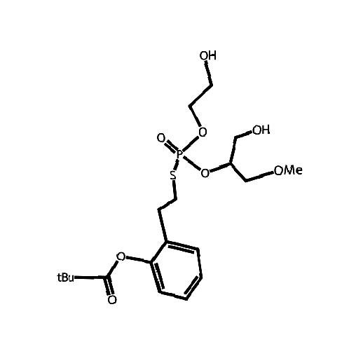 COCC(CO)OP(=O)(OCCO)SCCc1ccccc1OC(=O)C(C)(C)C